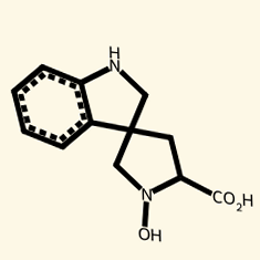 O=C(O)C1CC2(CNc3ccccc32)CN1O